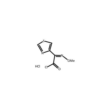 CON=C(C(=O)Cl)c1cscn1.Cl